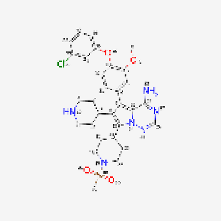 COc1cc(-c2c(C3CCNCC3)c(C3CCN(S(C)(=O)=O)CC3)n3ncnc(N)c23)ccc1Oc1cccc(Cl)c1